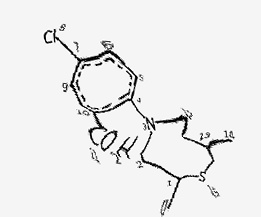 CC1CN(c2ccc(Cl)cc2C(=O)O)CC(C)S1